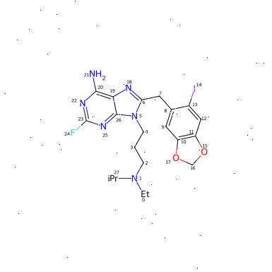 CCN(CCCn1c(Cc2cc3c(cc2I)OCO3)nc2c(N)nc(F)nc21)C(C)C